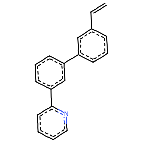 C=Cc1cccc(-c2cccc(-c3ccccn3)c2)c1